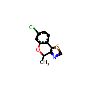 CC1Oc2cc(Cl)ccc2-c2scnc21